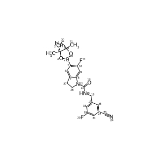 CC1(C)OB(c2cc3c(cc2F)N(C(=O)NCc2cc(F)cc(C#N)c2)CC3)OC1(C)C